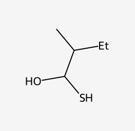 CCC(C)C(O)S